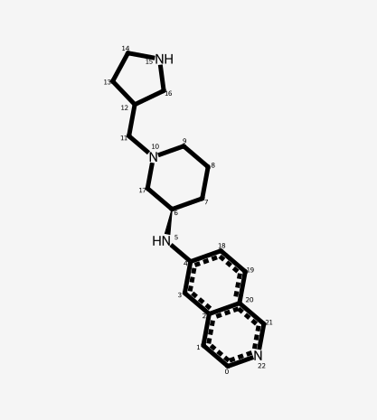 c1cc2cc(N[C@@H]3CCCN(CC4CCNC4)C3)ccc2cn1